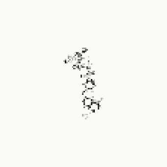 CNc1ccc(Oc2ccnc(NC(=O)C3CCN(C(=O)O)C(C(C)(C)C)C3)c2)cc1[N+](=O)[O-]